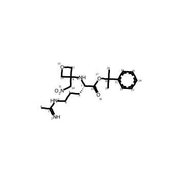 CC(=N)NCCC[C@H](NC1(C[N+](=O)[O-])COC1)C(=O)OC(C)(C)c1ccccc1